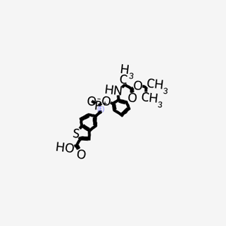 CC(C)OC(=O)C(C)Nc1ccccc1O/[P+]([O-])=C/c1ccc2sc(C(=O)O)cc2c1